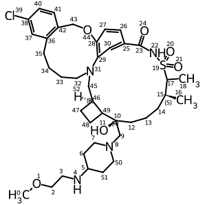 COCCNC1CCN(C[C@@]2(O)CCC[C@H](C)C(C)S(=O)(=O)NC(=O)c3ccc4c(c3)N(CCCCc3cc(Cl)ccc3CO4)C[C@@H]3CCC32)CC1